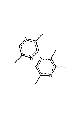 Cc1cnc(C)c(C)n1.Cc1cnc(C)cn1